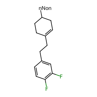 CCCCCCCCCC1CC=C(CCc2ccc(F)c(F)c2)CC1